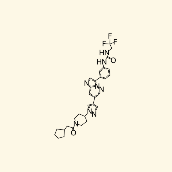 O=C(NCC(F)(F)F)Nc1cccc(-c2cnc3cc(-c4cnn(C5CCN(C(=O)CC6CCCC6)CC5)c4)cnn23)c1